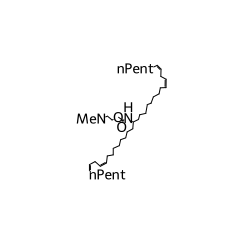 CCCCC/C=C\C/C=C\CCCCCCCCC(CCCCCCCC/C=C\C/C=C\CCCCC)NC(=O)OCCNC